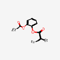 CCC(=O)Oc1ccccc1OC(=O)C(CC)CC